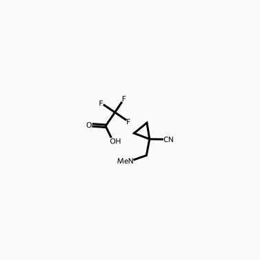 CNCC1(C#N)CC1.O=C(O)C(F)(F)F